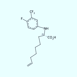 C=CCCCCC[C@H](Nc1ccc(F)c(C(F)(F)F)c1)C(=O)O